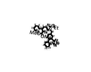 CCOc1nc2cc(-c3ccccn3)c(C(OC)OC)nc2n1Cc1ccc(-c2ccccc2)c(-c2nnn[nH]2)c1